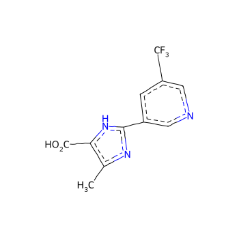 Cc1nc(-c2cncc(C(F)(F)F)c2)[nH]c1C(=O)O